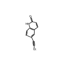 CCC#Cc1ccc2[nH]c(=O)ccc2c1